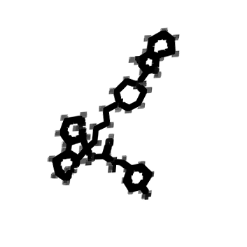 O=C(NCc1ccc(F)cc1)OC1(CCCCN2CCCN(c3nc4ccccc4s3)CC2)c2ccccc2-c2ccccc21